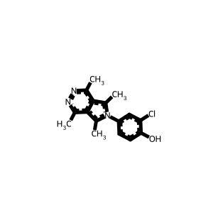 Cc1nnc(C)c2c(C)n(-c3ccc(O)c(Cl)c3)c(C)c12